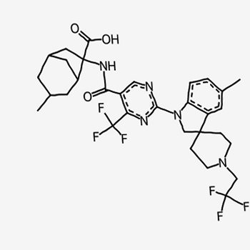 Cc1ccc2c(c1)C1(CCN(CC(F)(F)F)CC1)CN2c1ncc(C(=O)NC2(C(=O)O)CC3CC(C)CC2C3)c(C(F)(F)F)n1